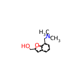 CN(C)Cc1cccc2cc(CO)oc12